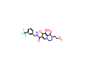 COCCN1CCn2cc(C(=O)NCc3cccc(C(F)(F)F)c3)c(=O)c(O)c2C1=O